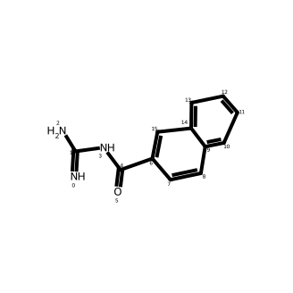 N=C(N)NC(=O)c1ccc2ccccc2c1